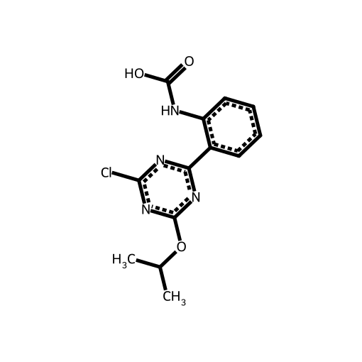 CC(C)Oc1nc(Cl)nc(-c2ccccc2NC(=O)O)n1